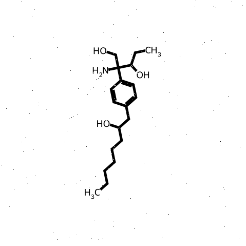 CCCCCCC(O)Cc1ccc(C(N)(CO)C(O)CC)cc1